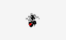 CCc1c(C(=O)N[C@H](c2cccc(F)c2-c2ccccc2)C2CCC2)c(C)[nH]c(=O)c1Br